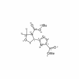 COC(=O)c1csc(C2COC(C)(C)N2C(=O)OC(C)(C)C)n1